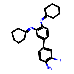 Nc1ccc(-c2ccc(N=C3CCCCC3)c(N=C3CCCCC3)c2)cc1N